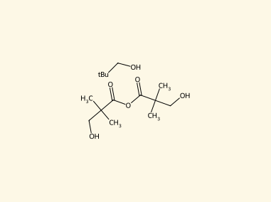 CC(C)(C)CO.CC(C)(CO)C(=O)OC(=O)C(C)(C)CO